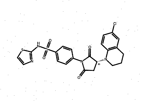 O=C1C[C@@H](N2CCCc3cc(Cl)ccc32)C(=O)N1c1ccc(S(=O)(=O)Nc2nccs2)cc1